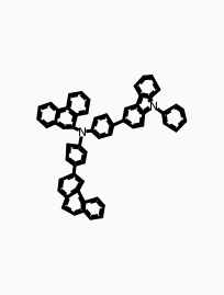 c1ccc(-n2c3ccccc3c3cc(-c4ccc(N(c5ccc(-c6ccc7ccc8ccccc8c7c6)cc5)c5cc6ccccc6c6ccccc56)cc4)ccc32)cc1